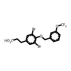 O=C(O)CCc1cc(Br)c(OCc2cccc(OC(F)(F)F)c2)c(Br)c1